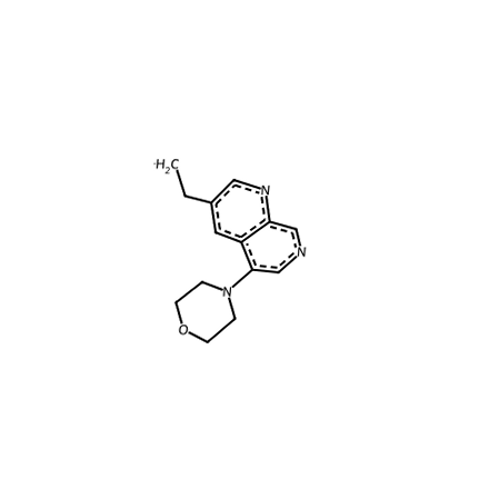 [CH2]Cc1cnc2cncc(N3CCOCC3)c2c1